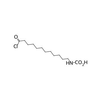 O=C(Cl)CCCCCCCCCCCNC(=O)O